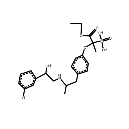 CCOC(=O)C(C)(Oc1ccc(CC(C)NCC(O)c2cccc(Cl)c2)cc1)P(=O)(O)O